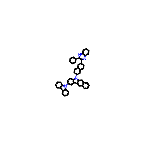 c1ccc(-c2nc3ccccc3nc2-c2ccc3cc(-n4c5ccc(-n6c7ccccc7c7ccccc76)cc5c5cc6ccccc6cc54)ccc3c2)cc1